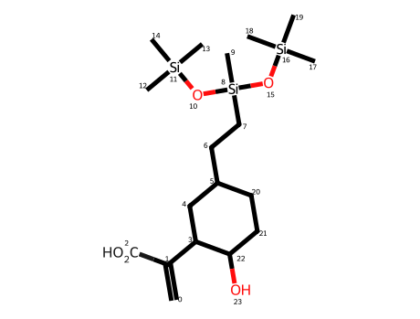 C=C(C(=O)O)C1CC(CC[Si](C)(O[Si](C)(C)C)O[Si](C)(C)C)CCC1O